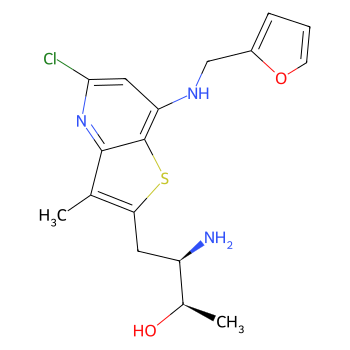 Cc1c(C[C@@H](N)[C@@H](C)O)sc2c(NCc3ccco3)cc(Cl)nc12